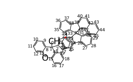 CC1(c2ccccc2)c2ccccc2Oc2cccc(-c3ccc4c(c3)-c3ccccc3C43c4ccccc4-c4ccc5ccccc5c43)c21